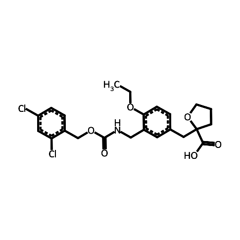 CCOc1ccc(CC2(C(=O)O)CCCO2)cc1CNC(=O)OCc1ccc(Cl)cc1Cl